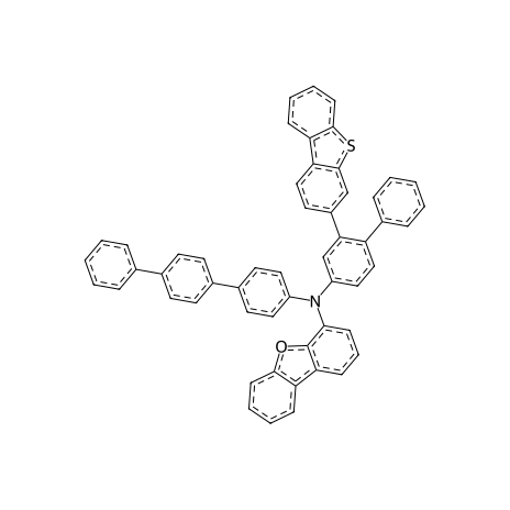 c1ccc(-c2ccc(-c3ccc(N(c4ccc(-c5ccccc5)c(-c5ccc6c(c5)sc5ccccc56)c4)c4cccc5c4oc4ccccc45)cc3)cc2)cc1